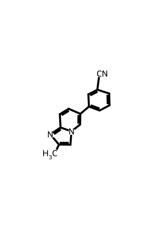 Cc1cn2cc(-c3cccc(C#N)c3)ccc2n1